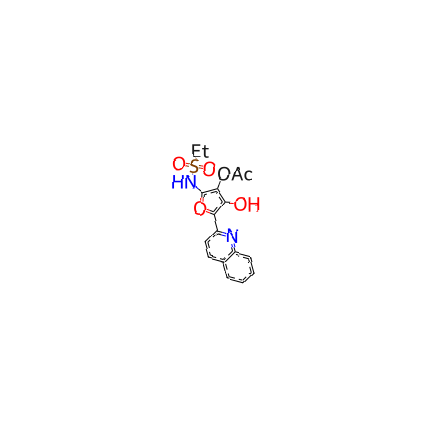 CCS(=O)(=O)Nc1oc(-c2ccc3ccccc3n2)c(O)c1OC(C)=O